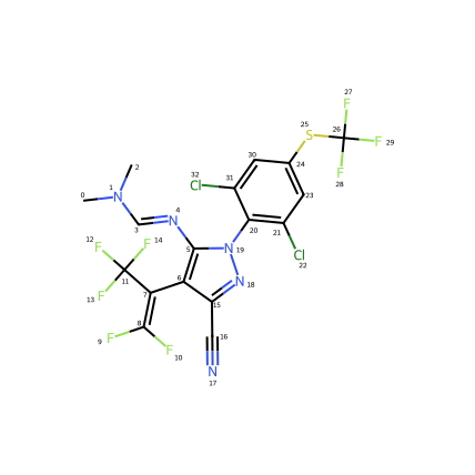 CN(C)C=Nc1c(C(=C(F)F)C(F)(F)F)c(C#N)nn1-c1c(Cl)cc(SC(F)(F)F)cc1Cl